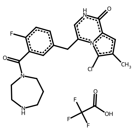 Cc1cc2c(=O)[nH]cc(Cc3ccc(F)c(C(=O)N4CCCNCC4)c3)n2c1Cl.O=C(O)C(F)(F)F